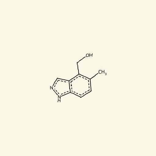 Cc1ccc2[nH]ncc2c1CO